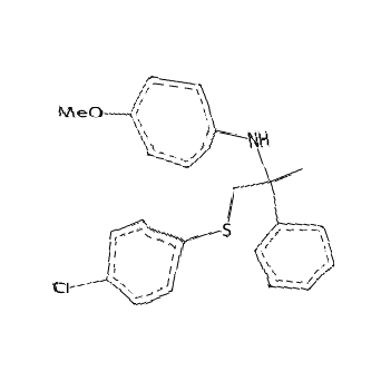 COc1ccc(NC(C)(CSc2ccc(Cl)cc2)c2ccccc2)cc1